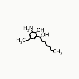 CCCCCCC(O)c1cc(CC)cc(N)c1O